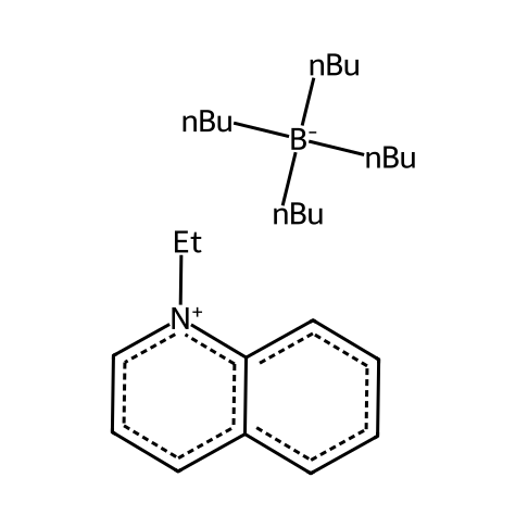 CCCC[B-](CCCC)(CCCC)CCCC.CC[n+]1cccc2ccccc21